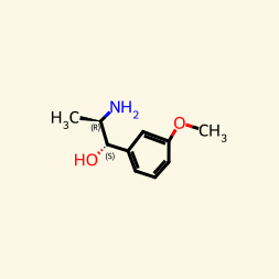 COc1cccc([C@H](O)[C@@H](C)N)c1